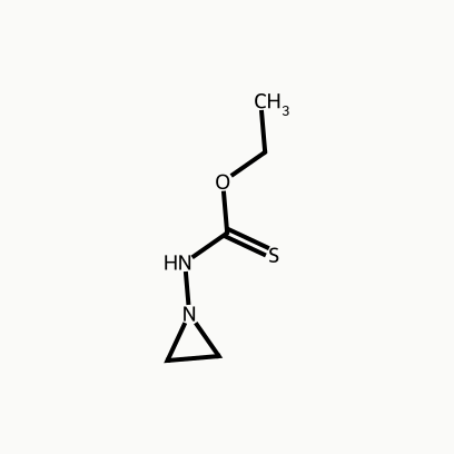 CCOC(=S)NN1CC1